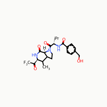 CC(C)[C@H](NC(=O)c1ccc(CO)cc1)C(=O)N1CCC2C(C)[C@@H](C(=O)C(F)(F)F)NC(=O)[C@H]21